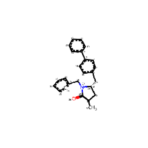 CC1C[C@@H](Cc2ccc(-c3ccccc3)cc2)N(Cc2ccccc2)C1=O